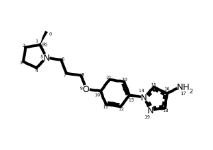 C[C@@H]1CCCN1CCCOC1C=CC(n2cc(N)cn2)=CC1